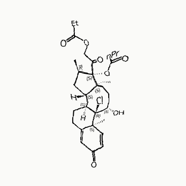 CCCC(=O)O[C@@]1(C(=O)COC(=O)CC)[C@H](C)C[C@H]2[C@@H]3CCC4=CC(=O)C=C[C@]4(C)[C@@]3(Cl)[C@@H](O)C[C@@]21C